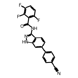 N#Cc1ccc(-c2ccc3c(NC(=O)c4c(F)ccc(F)c4F)n[nH]c3c2)cc1